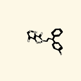 CCCN(CCC(c1ccccc1)c1ccc(F)cc1)C(=O)c1[nH]ncc(=O)c1O